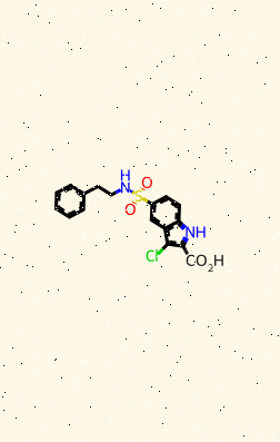 O=C(O)c1[nH]c2ccc(S(=O)(=O)NCCc3ccccc3)cc2c1Cl